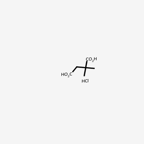 CC(C)(CC(=O)O)C(=O)O.Cl